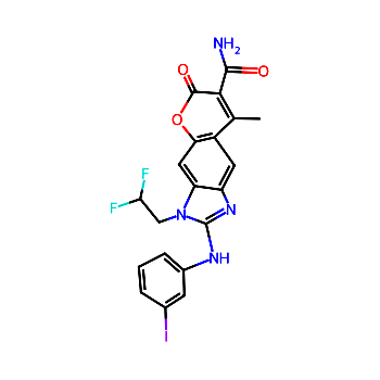 Cc1c(C(N)=O)c(=O)oc2cc3c(cc12)nc(Nc1cccc(I)c1)n3CC(F)F